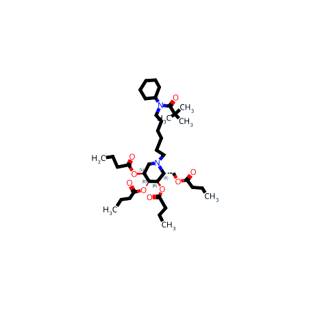 CCCC(=O)OC[C@@H]1[C@@H](OC(=O)CCC)[C@H](OC(=O)CCC)[C@@H](OC(=O)CCC)CN1CCCCCCN(C(=O)C(C)(C)C)C1CCCCC1